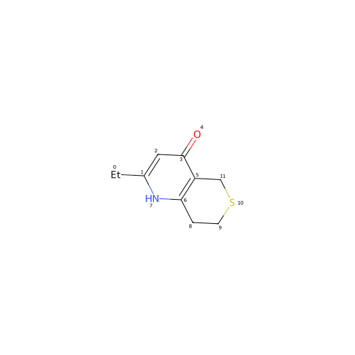 CCc1cc(=O)c2c([nH]1)CCSC2